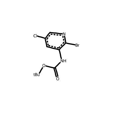 CC(C)(C)OC(=O)Nc1cc(Cl)cnc1Br